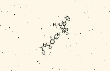 CN(CCNC(=O)c1ccc(N2CCN(CCn3c(=O)n(C)c4c3nc(N)n3nc(-c5ccco5)cc43)CC2)c(F)c1)C1COC1